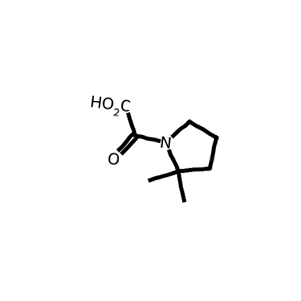 CC1(C)CCCN1C(=O)C(=O)O